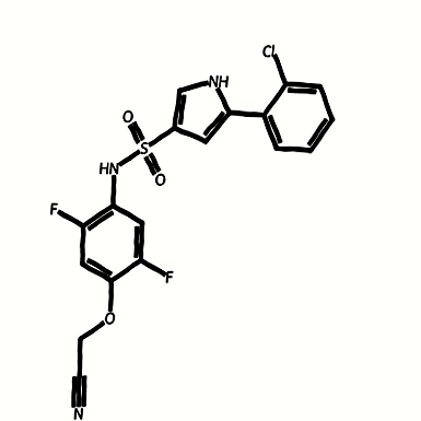 N#CCOc1cc(F)c(NS(=O)(=O)c2c[nH]c(-c3ccccc3Cl)c2)cc1F